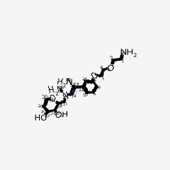 NCCOCCOc1cccc(/C(N)=C/N(N)CC2OCCC(O)C2O)c1